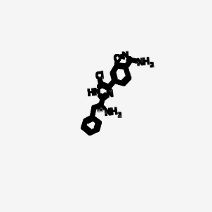 Nc1noc2cc(-c3nc([C@@H](N)Cc4ccccc4)[nH]c3Cl)ccc12